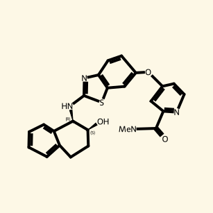 CNC(=O)c1cc(Oc2ccc3nc(N[C@@H]4c5ccccc5CC[C@@H]4O)sc3c2)ccn1